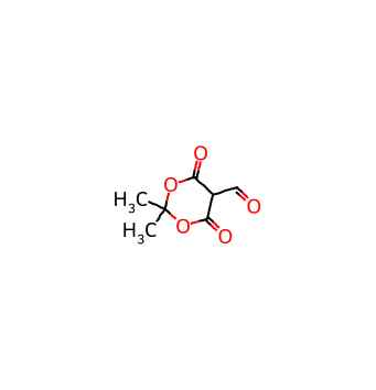 CC1(C)OC(=O)C(C=O)C(=O)O1